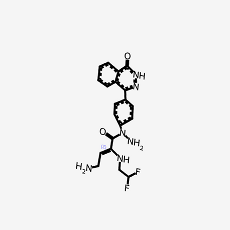 NC/C=C(\NCC(F)F)C(=O)N(N)c1ccc(-c2n[nH]c(=O)c3ccccc23)cc1